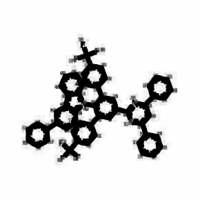 FC(F)(F)c1ccc(-c2cc(-c3nc(-c4ccccc4)cc(-c4ccccc4)n3)cc(-c3ccc(C(F)(F)F)cc3)c2-n2c3ccccc3c3cc(-c4ccccc4)ccc32)cc1